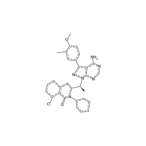 COc1ccc(-c2nn([C@@H](C)c3cc4cccc(Cl)c4c(=O)n3-c3ccccc3)c3ncnc(N)c23)cc1C